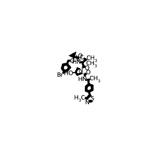 Cc1ncsc1-c1ccc(C(C)NC(=O)[C@@H]2C[C@@H](O)CN2C(=O)C(NC(=O)C2(OCc3ccc(Br)cc3)CC2)C(C)(C)C)cc1